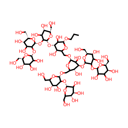 CCCO[C@@H]1OC(CO[C@H]2OC(CO[C@H]3OC(CO)[C@@H](O)[C@H](O)C3O[C@H]3OC(CO)[C@@H](O)[C@H](O)C3O)[C@@H](O)[C@H](O[C@H]3O[C@@H](CO)[C@@H](O)C(O)C3O[C@H]3O[C@@H](CO)[C@@H](O)C(O)C3O)C2O)[C@@H](O)[C@H](O[C@H]2O[C@@H](CO)[C@@H](O)C(O)C2O[C@H]2O[C@@H](CO)[C@@H](O)C(O)C2O[C@H]2O[C@@H](CO)[C@@H](O)C(O)C2O)C1O